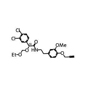 C#CCOc1ccc(CCNC(=O)[C@@H](OCOCC)c2ccc(Cl)c(Cl)c2)cc1OC